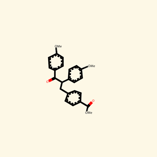 COC(=O)c1ccc(CC(C(=O)c2ccc(OC)cc2)c2ccc(OC)cc2)cc1